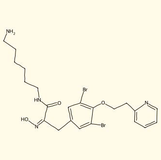 NCCCCCCNC(=O)/C(Cc1cc(Br)c(OCCc2ccccn2)c(Br)c1)=N\O